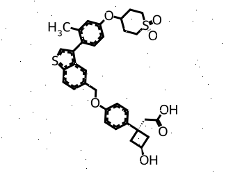 Cc1cc(OC2CCS(=O)(=O)CC2)ccc1-c1csc2ccc(COc3ccc([C@]4(CC(=O)O)C[C@H](O)C4)cc3)cc12